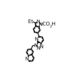 CCc1nn(C(=O)O)c2cc(-c3ccc4nnn(Cc5ccc6ncccc6c5)c4n3)ccc12